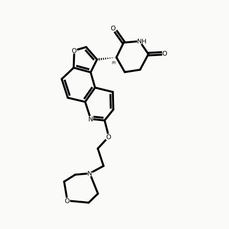 O=C1CC[C@H](c2coc3ccc4nc(OCCN5CCOCC5)ccc4c23)C(=O)N1